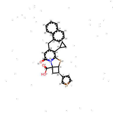 O=C(O)C12C[C@H](c3ccsc3)C1Sc1c(C3CC3)c(Cc3cccc4ccccc34)cc(=O)n12